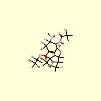 [2H]C1=C(C(=O)OC([2H])(C)C([2H])([2H])[2H])C([2H])([2H])[C@]([2H])(N([2H])C)[C@@](C)(N([2H])C(=O)C([2H])(C)C)[C@@]1([2H])OC(C)(CC([2H])([2H])C([2H])([2H])C)C(C)(C)C([2H])([2H])C